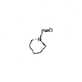 O=PN1CCCCC1